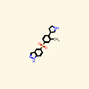 Cc1cc(S(=O)(=O)c2ccc3[nH]ncc3c2)ccc1C1CCNC1